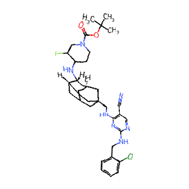 CC(C)(C)OC(=O)N1CCC(N[C@@H]2[C@@H]3CC4C[C@H]2C[C@@](CNc2nc(NCc5ccccc5Cl)ncc2C#N)(C4)C3)C(F)C1